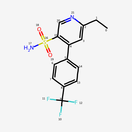 CCc1cc(-c2ccc(C(F)(F)F)cc2)c(S(N)(=O)=O)[c]n1